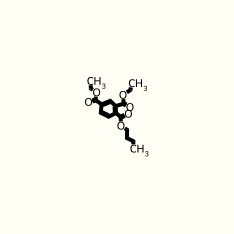 CCCCOC(=O)c1ccc(C(=O)OCC)cc1C(=O)OCC